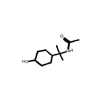 CC(=O)NC(C)(C)C1CCC(O)CC1